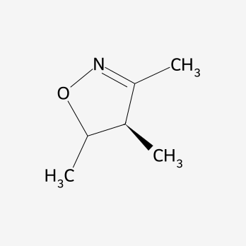 CC1=NOC(C)[C@@H]1C